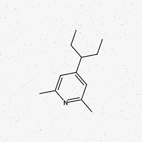 CCC(CC)c1cc(C)nc(C)c1